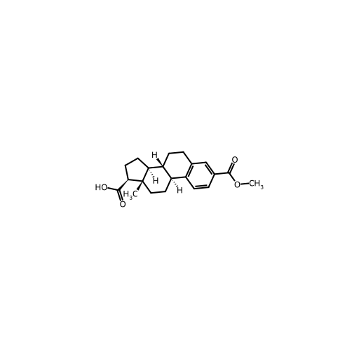 COC(=O)c1ccc2c(c1)CC[C@@H]1[C@@H]2CC[C@]2(C)[C@@H](C(=O)O)CC[C@@H]12